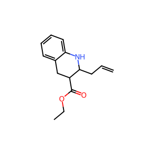 C=CCC1Nc2ccccc2CC1C(=O)OCC